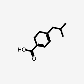 CC(C)CC1=CC=C(C(=O)O)CC1